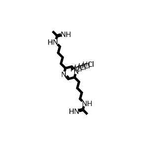 CC(=N)NCCCCC1C=NC(CCCCNC(C)=N)C=N1.Cl.Cl.Cl.Cl